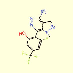 Cn1ncc2c(N)nnc(-c3c(O)cc(C(F)(F)F)cc3F)c21